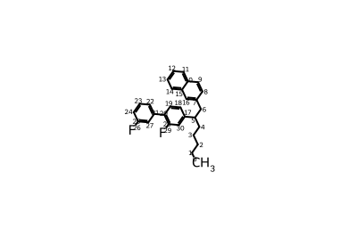 CCCCCC(Cc1ccc2ccccc2c1)c1ccc(-c2cccc(F)c2)c(F)c1